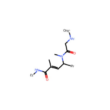 CCNC(=O)/C(C)=C/C(C(C)C)N(C)C(=O)CNC=O